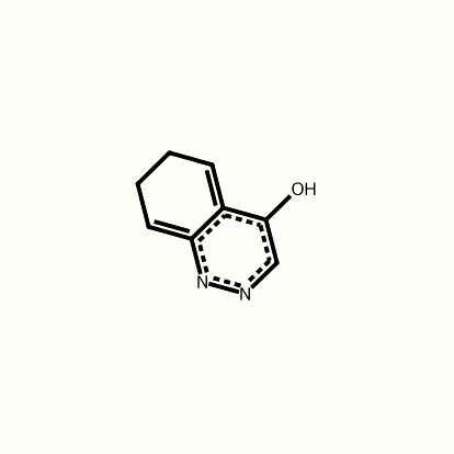 Oc1cnnc2c1=CCCC=2